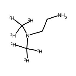 [2H]C([2H])([2H])N(CCN)C([2H])([2H])[2H]